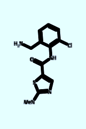 CNc1ncc(C(=O)Nc2c(Cl)cccc2CN)s1